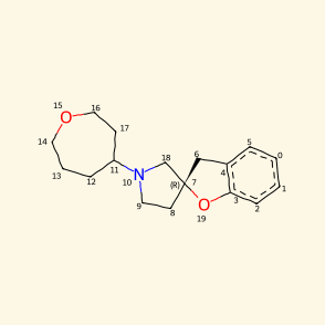 c1ccc2c(c1)C[C@]1(CCN(C3CCCOCC3)C1)O2